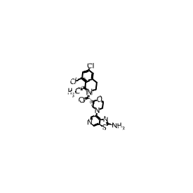 C[C@H]1c2c(Cl)cc(Cl)cc2CCN1C(=O)[C@H]1CN(c2cncc3sc(N)nc23)CCO1